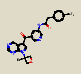 CCC1(n2cc(C(=O)c3cncc(NC(=O)Cc4ccc(C(F)(F)F)cc4)c3)c3cncnc32)COC1